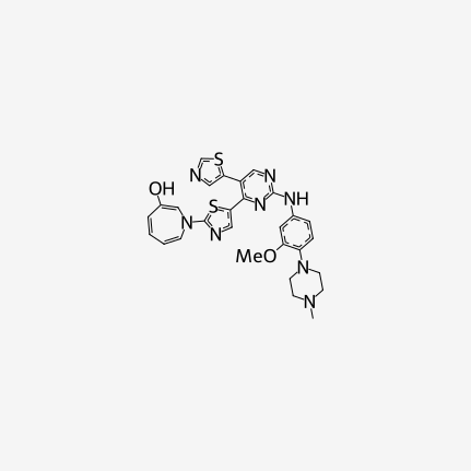 COc1cc(Nc2ncc(-c3cncs3)c(-c3cnc(N4C=CC=CC(O)=C4)s3)n2)ccc1N1CCN(C)CC1